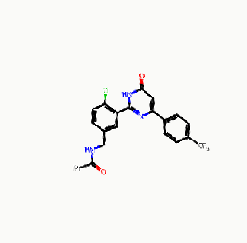 CC(C)C(=O)NCc1ccc(Cl)c(-c2nc(-c3ccc(C(F)(F)F)cc3)cc(=O)[nH]2)c1